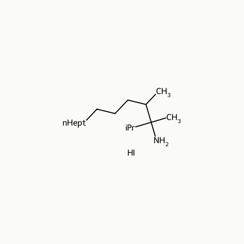 CCCCCCCCCCC(C)C(C)(N)C(C)C.I